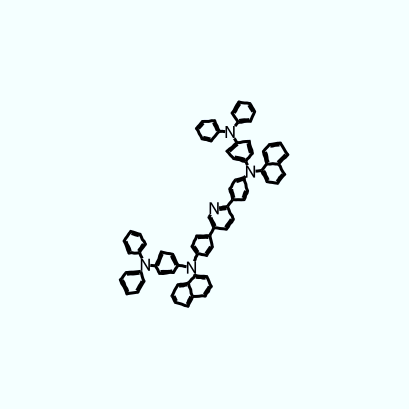 c1ccc(N(c2ccccc2)c2ccc(N(c3ccc(-c4ccc(-c5ccc(N(c6ccc(N(c7ccccc7)c7ccccc7)cc6)c6cccc7ccccc67)cc5)nc4)cc3)c3cccc4ccccc34)cc2)cc1